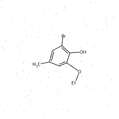 CCOc1cc(C)cc(Br)c1O